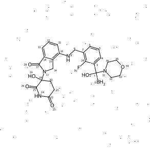 BC(O)(c1cccc(CNc2cccc3c2CN(C2(O)CCC(=O)NC2=O)C3=O)c1F)N1CCOCC1